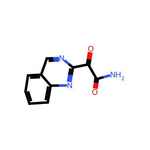 NC(=O)C(=O)c1ncc2ccccc2n1